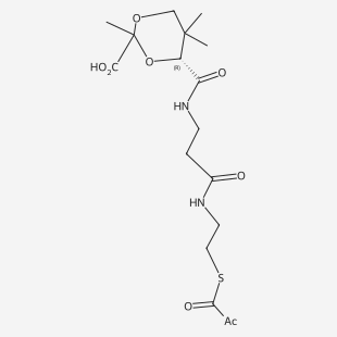 CC(=O)C(=O)SCCNC(=O)CCNC(=O)[C@@H]1OC(C)(C(=O)O)OCC1(C)C